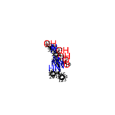 COC(=O)c1nc(NCC(c2ccccc2)c2ccccc2)c2ncn(C3CC(n4cc(CO)cn4)C(O)C3O)c2n1